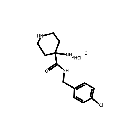 Cl.Cl.NC1(C(=O)NCc2ccc(Cl)cc2)CCNCC1